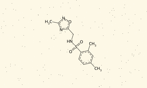 Cc1ccc(S(=O)(=O)NCc2nc(C)no2)c(C)c1